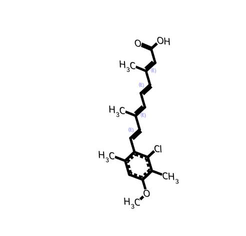 COc1cc(C)c(/C=C/C(C)=C/C=C/C(C)=C/C(=O)O)c(Cl)c1C